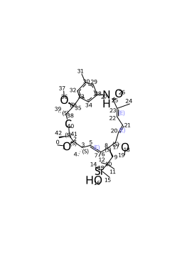 CO[C@@H]1[C@@H](C)/C=C(\C)[C@H](CC(C)(C)[Si](C)(C)O)[C@@H](OC)/C=C/C=C(\C)C(=O)Nc2cc(C)cc(c2)[C@H](OC)[C@@H](C)C[C@@H]1C